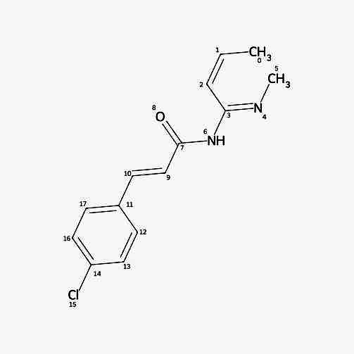 C/C=C\C(=N/C)NC(=O)/C=C/c1ccc(Cl)cc1